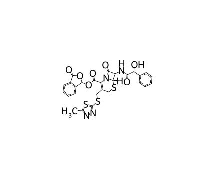 Cc1nnc(SCC2=C(C(=O)OC3OC(=O)c4ccccc43)N3C(=O)C(NC(=O)C(O)c4ccccc4)[C@@H]3SC2)s1